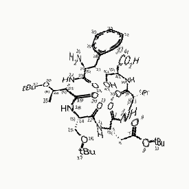 CC(C)[C@H](NC(=O)[C@H](CC(=O)OC(C)(C)C)NC(=O)[C@H](COC(C)(C)C)NC(=O)[C@@H](NC(=O)[C@@H](N)Cc1ccccc1)[C@@H](C)OC(C)(C)C)C(=O)N[C@@H](CO)C(=O)O